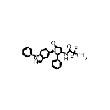 CC(F)(F)C(=O)NC1CC(=O)N(c2ccc3c(cnn3-c3ccccc3)c2)C1c1ccccc1